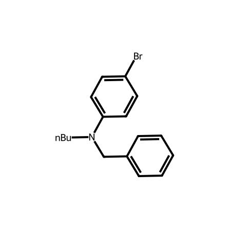 CCCCN(Cc1ccccc1)c1ccc(Br)cc1